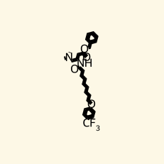 CN(C)CC(CC(=O)OCc1ccccc1)NC(=O)CCCCCCCCOc1ccc(C(F)(F)F)cc1